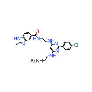 CC(=O)NCCNc1cc(NCCNC(=O)c2ccc3[nH]c(C)nc3c2)nc(-c2ccc(Cl)cc2)n1